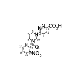 O=C(O)c1ccc(N2CCCN(C(=O)c3ccccc3[N+](=O)[O-])C2)nn1